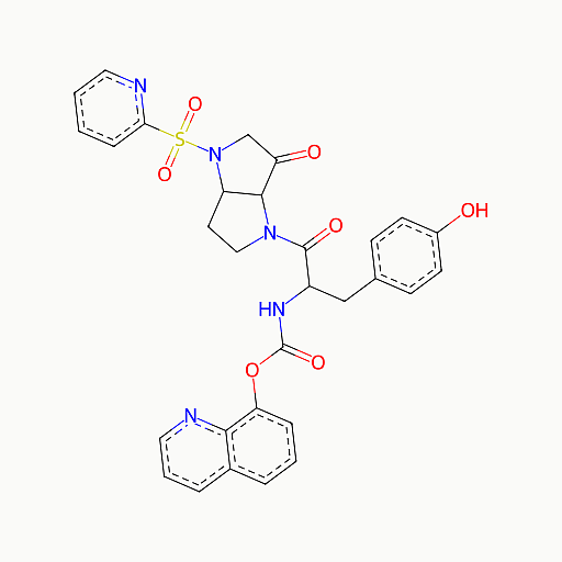 O=C(NC(Cc1ccc(O)cc1)C(=O)N1CCC2C1C(=O)CN2S(=O)(=O)c1ccccn1)Oc1cccc2cccnc12